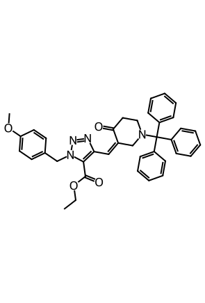 CCOC(=O)c1c(C=C2CN(C(c3ccccc3)(c3ccccc3)c3ccccc3)CCC2=O)nnn1Cc1ccc(OC)cc1